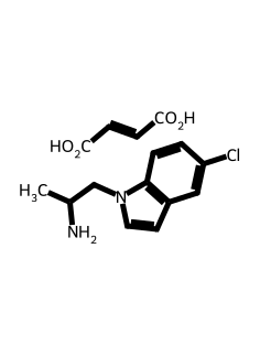 CC(N)Cn1ccc2cc(Cl)ccc21.O=C(O)C=CC(=O)O